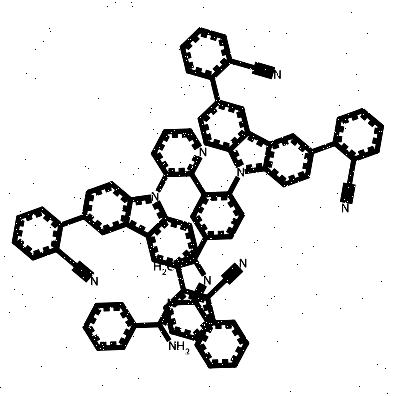 C=C(/N=C(\N=C(/N)c1ccccc1)c1ccccc1)c1ccc(-n2c3ccc(-c4ccccc4C#N)cc3c3cc(-c4ccccc4C#N)ccc32)c(-c2ncccc2-n2c3ccc(-c4ccccc4C#N)cc3c3cc(-c4ccccc4C#N)ccc32)c1